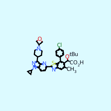 Cc1cc2nc(-c3ccc4c(n3)c(C3CCN(C5COC5)CC3)nn4C3CC3)sc2c(-c2ccc(Cl)cc2)c1C(OC(C)(C)C)C(=O)O